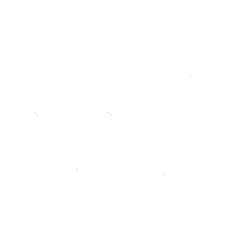 CCN1c2cc(N)cc(Br)c2-c2ccc(N)cc2C1c1ccc([N+](=O)[O-])cc1